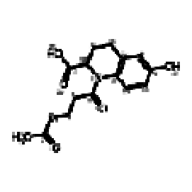 CC(=O)SCCC(=O)N1c2ccc(O)cc2CCC1C(=O)O